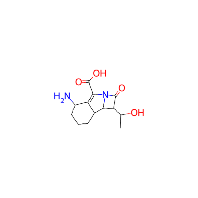 CC(O)C1C(=O)N2C(C(=O)O)=C3C(N)CCCC3C12